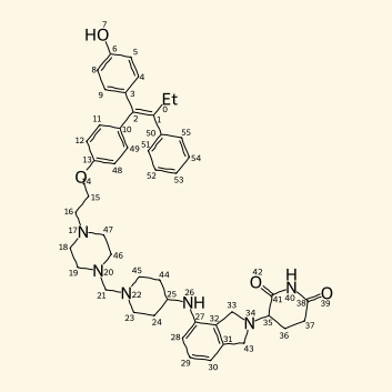 CCC(=C(c1ccc(O)cc1)c1ccc(OCCN2CCN(CN3CCC(Nc4cccc5c4CN(C4CCC(=O)NC4=O)C5)CC3)CC2)cc1)c1ccccc1